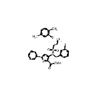 C=CCS(=O)(=O)N(Cc1cccc(I)c1)c1cc(-c2ccccc2)sc1C(=O)OC.Cc1ccc(C)c(Cl)c1